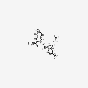 CC(C)=CCCn1cc(C(=O)COc2cc3ccc(Cl)cc3cc2C(N)=O)c2ccc(C3CC3)cc21